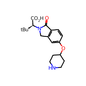 CC(C)(C)[C@@H](C(=O)O)N1Cc2cc(OC3CCNCC3)ccc2C1=O